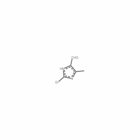 CCc1nc(C)c(C=O)[nH]1